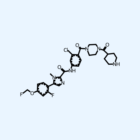 Cn1c(-c2ccc(OCF)cc2F)cnc1C(=O)Nc1ccc(C(=O)N2CCN(C(=O)C3CCNCC3)CC2)c(Cl)c1